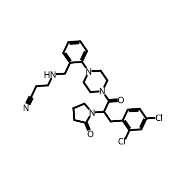 N#CCCNCc1ccccc1N1CCN(C(=O)C(Cc2ccc(Cl)cc2Cl)N2CCCC2=O)CC1